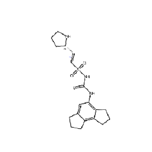 O=C(Nc1cc2c(c3c1CCC3)CCC2)NS(=O)(=O)/C=C/[C@@H]1CCCN1